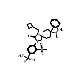 CN(N)[C@]1(c2ccccc2)CC[C@]2(CC1)CN(c1ccc(C(F)(P)P)cc1S(C)(=O)=O)C(=O)N2CC1CCC1